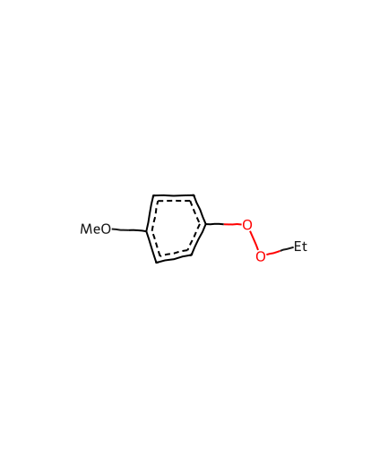 CCOOc1ccc(OC)cc1